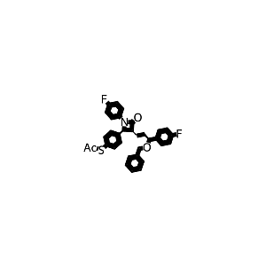 CC(=O)Sc1ccc([C@@H]2[C@@H](CC[C@H](OCc3ccccc3)c3ccc(F)cc3)C(=O)N2c2ccc(F)cc2)cc1